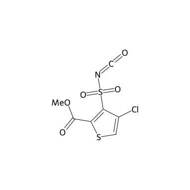 COC(=O)c1scc(Cl)c1S(=O)(=O)N=C=O